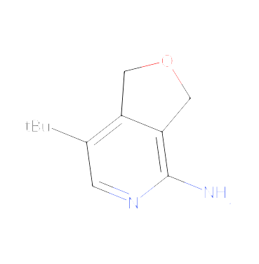 CC(C)(C)c1cnc(N)c2c1COC2